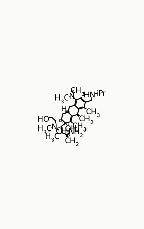 C=C1C2=C(C)[C@](O)(CC(C)C(=C)N)[C@H](C(CO)N(C)C)C[C@@H]2Cc2c(N(C)C)cc(CNC(C)C)c(C)c21